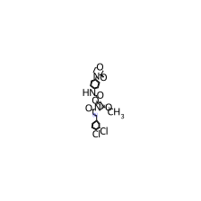 CO[C@@H]1C[C@@H](OC(=O)Nc2ccc(N3CCOCC3=O)cc2)N(C(=O)/C=C/c2ccc(Cl)c(Cl)c2)C1